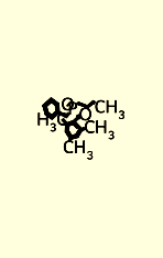 CCCCP(=O)(Cc1ccccc1)C(=O)c1c(C)cc(C)cc1C